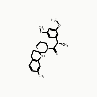 COc1cc(OC)cc([C@@H](C)C(=O)N2CCC[C@]3(CCc4ccc(C)nc4N3)C2)c1